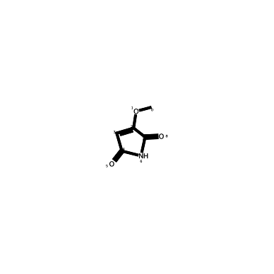 COC1=CC(=O)NC1=O